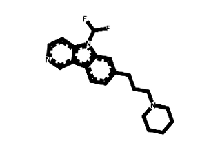 FC(F)n1c2ccncc2c2ccc(CCCN3CCCCC3)cc21